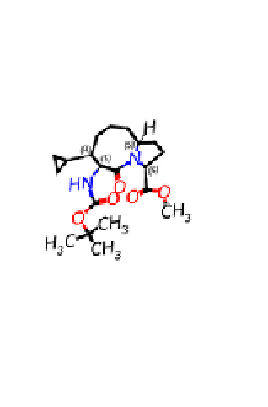 COC(=O)[C@@H]1CC[C@@H]2CCC[C@H](C3CC3)[C@H](NC(=O)OC(C)(C)C)C(=O)N21